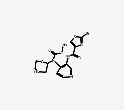 CC(C)(C)OC(=O)N(c1ccncc1NC(=O)c1csc(Br)n1)C1CCCNC1